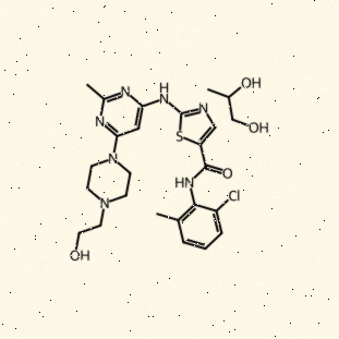 CC(O)CO.Cc1nc(Nc2ncc(C(=O)Nc3c(C)cccc3Cl)s2)cc(N2CCN(CCO)CC2)n1